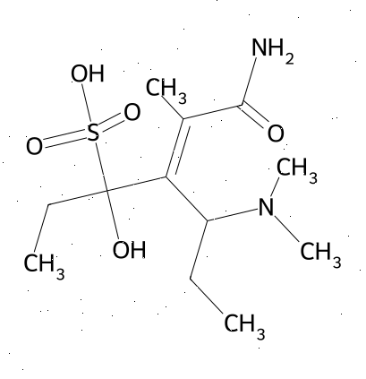 CCC(C(=C(C)C(N)=O)C(O)(CC)S(=O)(=O)O)N(C)C